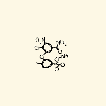 CCCOS(=O)(=O)c1ccc(C)c(Oc2cc(C(N)=O)cc([N+](=O)[O-])c2Cl)c1